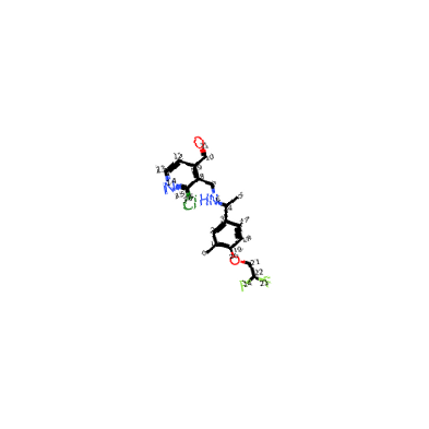 Cc1cc(C(C)NCc2c(C=O)ccnc2Cl)ccc1OCC(F)F